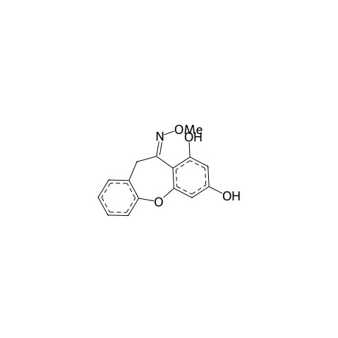 CO/N=C1/Cc2ccccc2Oc2cc(O)cc(O)c21